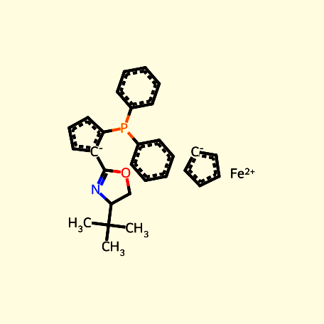 CC(C)(C)C1COC([c-]2cccc2P(c2ccccc2)c2ccccc2)=N1.[Fe+2].c1cc[cH-]c1